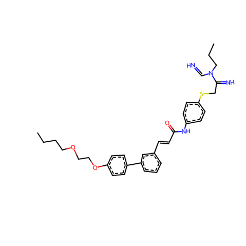 CCCCOCCOc1ccc(-c2cccc(/C=C/C(=O)Nc3ccc(SCC(=N)N(C=N)CCC)cc3)c2)cc1